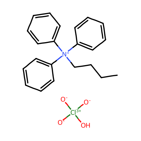 CCCC[N+](c1ccccc1)(c1ccccc1)c1ccccc1.[O-][Cl+3]([O-])([O-])O